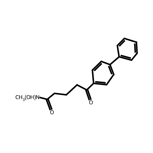 CN(O)C(=O)CCCC(=O)c1ccc(-c2ccccc2)cc1